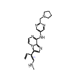 C=C/C(=C\NC)c1cnc2c(Nc3cnc(CN4CCCC4)nc3)nccn12